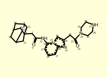 O=C(CC12CC3CC(CC(C3)C1)C2)Nc1cccc2nc(CC(=O)N3CCNCC3)cn12